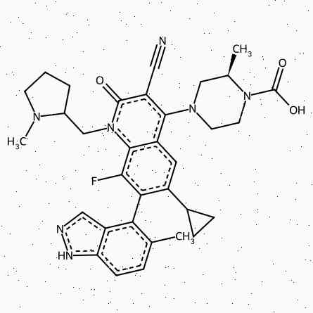 Cc1ccc2[nH]ncc2c1-c1c(C2CC2)cc2c(N3CCN(C(=O)O)[C@H](C)C3)c(C#N)c(=O)n(CC3CCCN3C)c2c1F